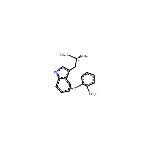 CC(=O)N[C@@H](Cc1c[nH]c2ccccc12)C(=O)O.CC(=O)Oc1ccccc1C(=O)O